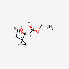 CCOC(=O)CC(=O)C1(CC)CC1